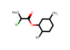 COC(Br)C(=O)OC1CC(C)CCC1C(C)C